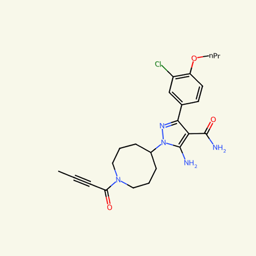 CC#CC(=O)N1CCCC(n2nc(-c3ccc(OCCC)c(Cl)c3)c(C(N)=O)c2N)CCC1